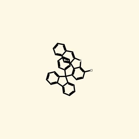 Clc1ccc(C2(c3ccccc3)c3ccccc3-c3ccccc32)c2c1sc1cc3ccccc3cc12